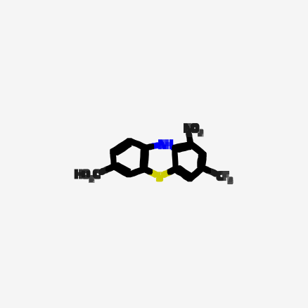 O=C(O)c1ccc2c(c1)Sc1cc(C(F)(F)F)cc([N+](=O)[O-])c1N2